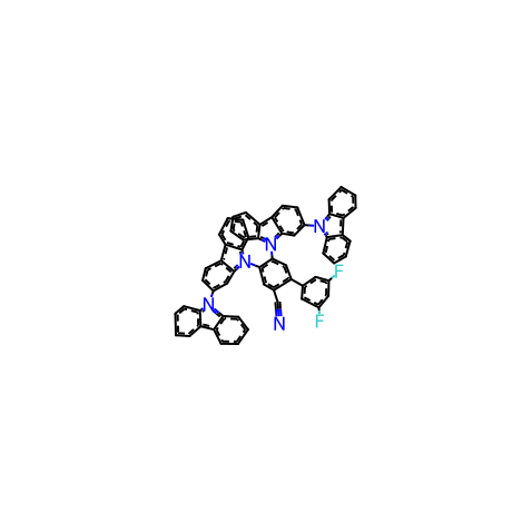 N#Cc1cc(-n2c3ccccc3c3ccc(-n4c5ccccc5c5ccccc54)cc32)c(-n2c3ccccc3c3ccc(-n4c5ccccc5c5ccccc54)cc32)cc1-c1cc(F)cc(F)c1